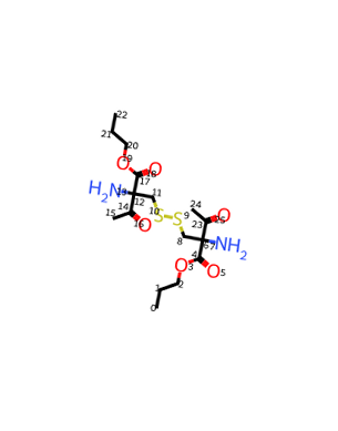 CCCOC(=O)C(N)(CSSCC(N)(C(C)=O)C(=O)OCCC)C(C)=O